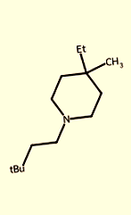 CCC1(C)CCN(CCC(C)(C)C)CC1